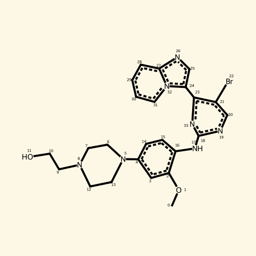 COc1cc(N2CCN(CCO)CC2)ccc1Nc1ncc(Br)c(-c2cnc3ccccn23)n1